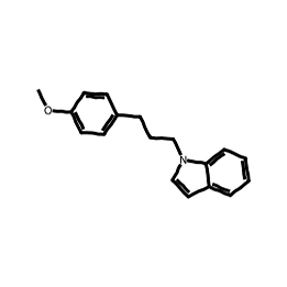 COc1ccc(CCCn2ccc3ccccc32)cc1